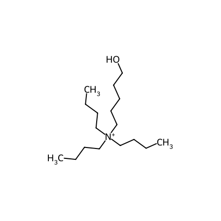 CCCC[N+](CCCC)(CCCC)CCCCCO